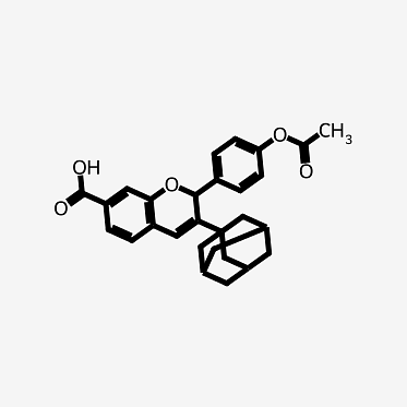 CC(=O)Oc1ccc(C2Oc3cc(C(=O)O)ccc3C=C2C23CC4CC(CC(C4)C2)C3)cc1